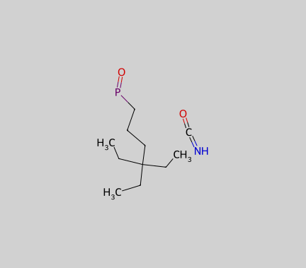 CCC(CC)(CC)CCCP=O.N=C=O